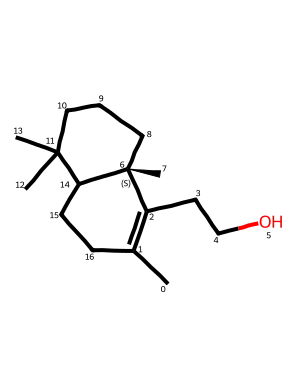 CC1=C(CCO)[C@@]2(C)CCCC(C)(C)C2CC1